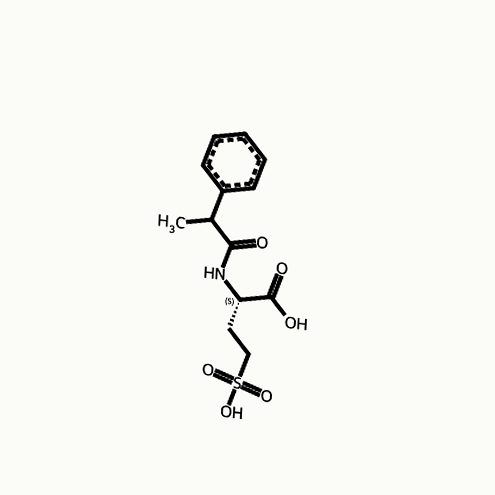 CC(C(=O)N[C@@H](CCS(=O)(=O)O)C(=O)O)c1ccccc1